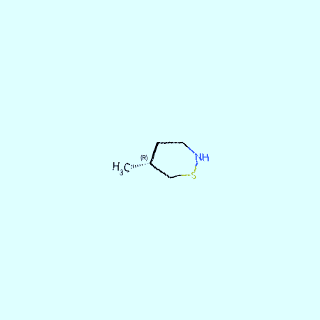 C[C@@H]1CCNSC1